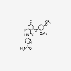 COc1cc(OC(F)(F)F)ccc1Oc1cc(Cl)cc(F)c1C(=O)Nc1ccc(C(N)=O)nc1